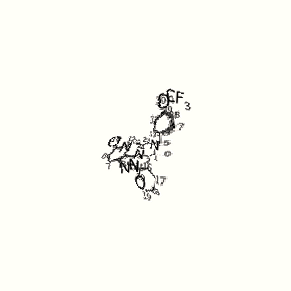 C[C@@H]1CN(c2c3c(ccc(=O)n3C)nn2C2CCCCO2)[C@@H](C)CN1Cc1ccc(OC(F)(F)F)cc1